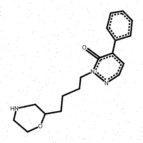 O=c1c(-c2ccccc2)ccnn1CCCCC1CNCCO1